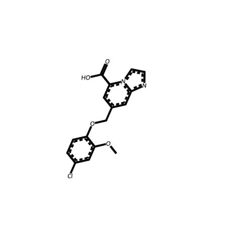 COc1cc(Cl)ccc1OCc1cc(C(=O)O)n2ccnc2c1